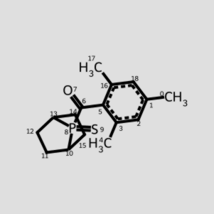 Cc1cc(C)c(C(=O)P2(=S)C3CCC2CC3)c(C)c1